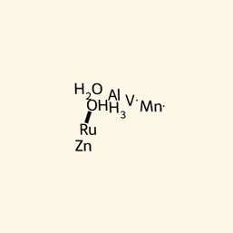 O.[AlH3].[Mn].[OH][Ru].[V].[Zn]